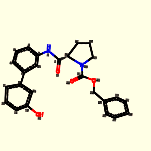 O=C(Nc1cccc(-c2cccc(O)c2)c1)[C@@H]1CCCN1C(=O)OCc1ccccc1